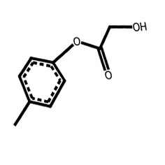 Cc1ccc(OC(=O)CO)cc1